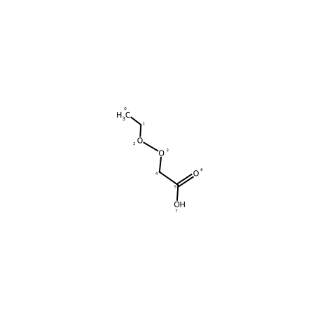 CCOOCC(=O)O